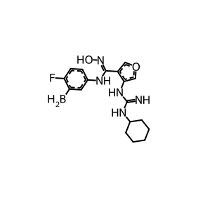 Bc1cc(N/C(=N\O)c2cocc2NC(=N)NC2CCCCC2)ccc1F